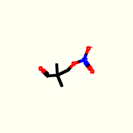 CC(C)([C]=O)CO[N+](=O)[O-]